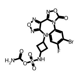 NC(=O)OS(=O)(=O)NC1CC(Nc2nonc2-c2noc(=O)n2-c2ccc(F)c(Br)c2)C1